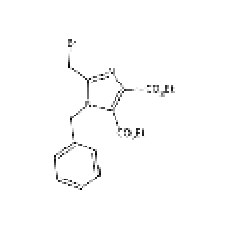 CCOC(=O)c1nc(CBr)n(Cc2ccccc2)c1C(=O)OCC